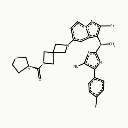 CCc1nn2ccc(N3CC4(CN(C(=O)[C@H]5CCOC5)C4)C3)cc2c1N(C)c1nc(-c2ccc(F)cc2)c(C#N)s1